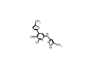 [C-]#[N+]c1c(-c2ccc(C)s2)cc(Nc2cc(C)[nH]n2)nc1Cl